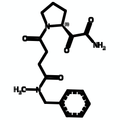 CN(Cc1ccccc1)C(=O)CCC(=O)N1CCC[C@H]1C(=O)C(N)=O